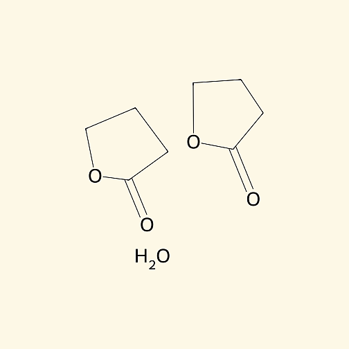 O.O=C1CCCO1.O=C1CCCO1